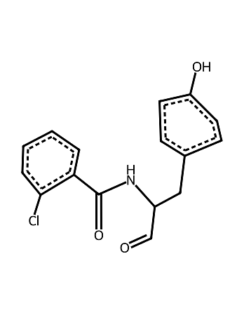 O=CC(Cc1ccc(O)cc1)NC(=O)c1ccccc1Cl